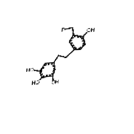 Oc1ccc(CCc2cc(O)c(O)c(O)c2)cc1CF